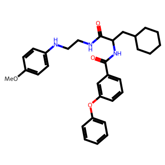 COc1ccc(NCCNC(=O)C(CC2CCCCC2)NC(=O)c2cccc(Oc3ccccc3)c2)cc1